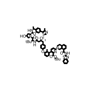 Cc1ncsc1-c1ccc(C(C)NC(=O)[C@@H]2C[C@@H](O)CN2C(=O)C(NC(=O)CC(Cc2ccc(Oc3cccc(-c4ccc(N5CCc6cccc(C(=O)Nc7nc8ccccc8s7)c6C5)nc4C(=O)OC(C)(C)C)c3C)cc2)C(F)(F)F)C(C)(C)C)cc1